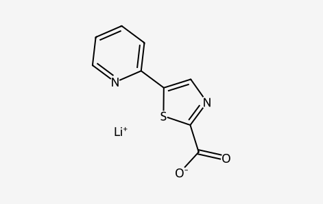 O=C([O-])c1ncc(-c2ccccn2)s1.[Li+]